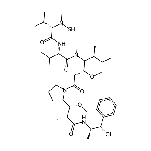 CC[C@H](C)C([C@@H](CC(=O)N1CCC[C@H]1[C@H](OC)[C@@H](C)C(=O)N[C@H](C)[C@@H](O)c1ccccc1)OC)N(C)C(=O)[C@@H](NC(=O)[C@H](C(C)C)N(C)S)C(C)C